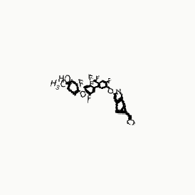 CC1(O)CCC(Oc2c(F)cc(-c3cc(COc4cc5c(cn4)C4C(C=O)C4C5)c(F)cc3C(F)(F)F)cc2F)CC1